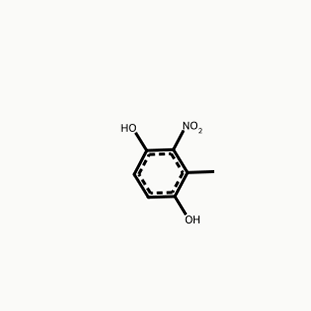 Cc1c(O)ccc(O)c1[N+](=O)[O-]